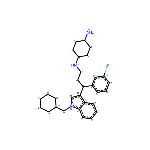 NC1CCC(NCCC(c2cccc(F)c2)c2cn(CC3CCCCC3)c3ccccc23)CC1